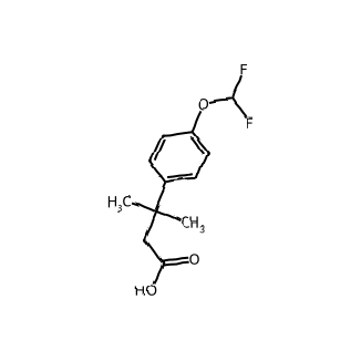 CC(C)(CC(=O)O)c1ccc(OC(F)F)cc1